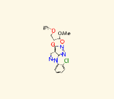 COC(=O)C(COC(C)C)Oc1ncnc2c1cnn2-c1ccccc1Cl